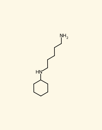 NCCCCCNC1CCCCC1